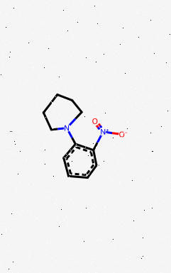 O=[N+]([O-])c1[c]cccc1N1CCCCC1